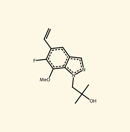 C=Cc1cc2cnn(CC(C)(C)O)c2c(OC)c1F